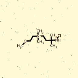 COCC[N+](C)(C)CCC(C)(C)NCl